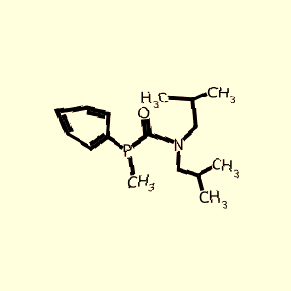 CC(C)CN(CC(C)C)C(=O)P(C)c1ccccc1